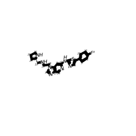 Fc1ccc(-c2cnc(Nc3cc4c(cn3)ncn4CCNC[C@@H]3CCCN3)s2)cc1